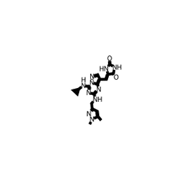 Cc1cc(CNc2nc(NC3CC3)n3ncc(/C=C4\NC(=O)NC4=O)c3n2)nn1C